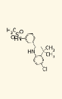 CC1(C)CC(c2cccc(NS(C)(=O)=O)c2)Nc2ccc(Cl)cc21